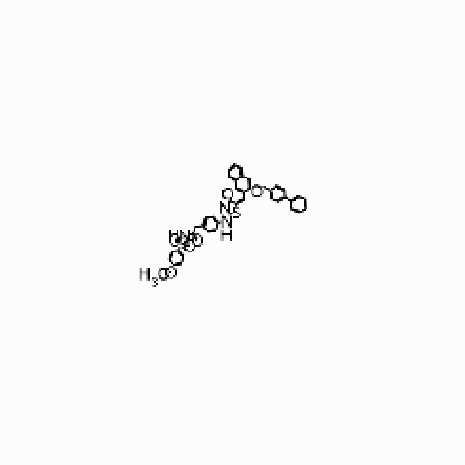 COc1ccc(S(=O)(=O)NC(=O)Cc2ccc(NC3=NC(=O)C(=Cc4cc5ccccc5cc4OCc4ccc(-c5ccccc5)cc4)S3)cc2)cc1